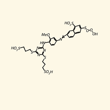 COc1cc(/N=N/c2ccc3cc(SOOO)cc(S(=O)(=O)O)c3c2)ccc1Nc1nc(SCCCS(=O)(=O)O)nc(SCCCS(=O)(=O)O)n1